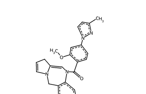 COc1cc(-n2ccc(C)n2)ccc1C(=O)N1C=C2CC=CN2Cc2ccccc21